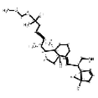 COCOC(C)(C)C/C=C/[C@@H](C)[C@H]1CC[C@H]2/C(=C/[C@@H](CO)[C@@]34C=CC[C@@H]3C4)CCC[C@]12C